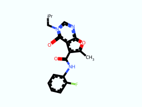 Cc1oc2ncn(CC(C)C)c(=O)c2c1C(=O)Nc1ccccc1F